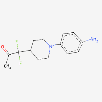 CC(=O)C(F)(F)C1CCN(c2ccc(N)cc2)CC1